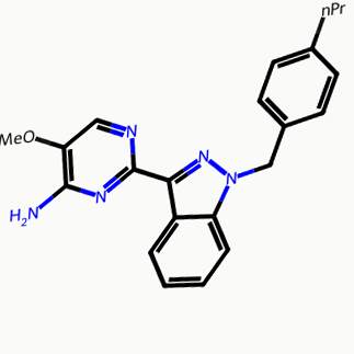 CCCc1ccc(Cn2nc(-c3ncc(OC)c(N)n3)c3ccccc32)cc1